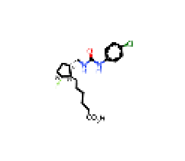 O=C(O)CCCCC[C@@H]1[C@@H](CNC(=O)Nc2ccc(Cl)cc2)CC[C@H]1F